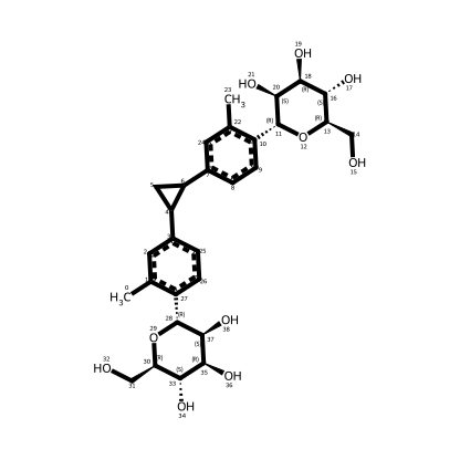 Cc1cc(C2CC2c2ccc([C@H]3O[C@H](CO)[C@@H](O)[C@H](O)[C@@H]3O)c(C)c2)ccc1[C@H]1O[C@H](CO)[C@@H](O)[C@H](O)[C@@H]1O